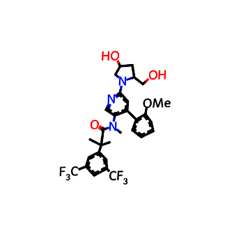 COc1ccccc1-c1cc(N2CC(O)CC2CO)ncc1N(C)C(=O)C(C)(C)c1cc(C(F)(F)F)cc(C(F)(F)F)c1